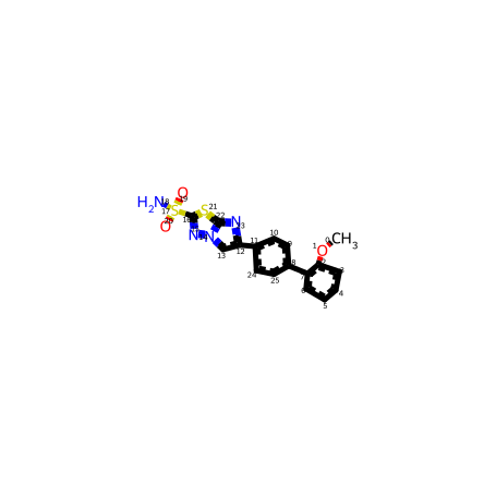 COc1ccccc1-c1ccc(-c2cn3nc(S(N)(=O)=O)sc3n2)cc1